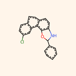 Clc1ccc2ccc3ccc4c(c3c2c1)OC(c1ccccc1)N4